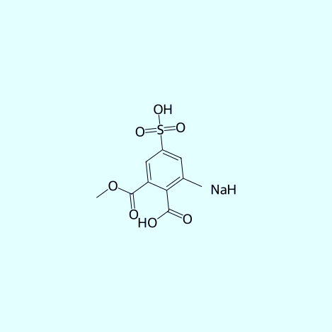 COC(=O)c1cc(S(=O)(=O)O)cc(C)c1C(=O)O.[NaH]